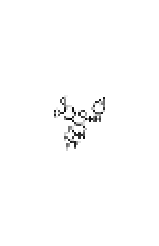 COc1ccc(-c2nc(C(F)(F)F)ncc2C(=O)NC2=CCN(C)C=C2)cc1OC